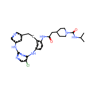 CC(C)NC(=O)N1CCC(CC(=O)Nc2ccc3cc2CCc2cncc(c2)Nc2ncc(Cl)c(n2)N3)CC1